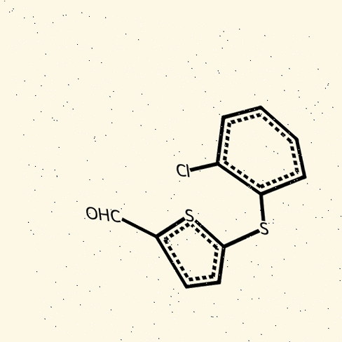 O=Cc1ccc(Sc2ccccc2Cl)s1